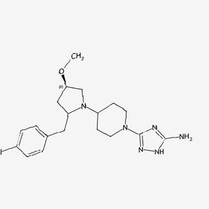 CO[C@@H]1CC(Cc2ccc(Cl)cc2)N(C2CCN(c3n[nH]c(N)n3)CC2)C1